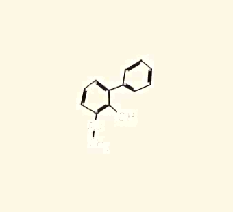 [CH3][Au][c]1cccc(-c2ccccc2)c1O